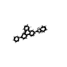 c1ccc(-c2ccc3c4ccc(-c5nc6ccccc6o5)cc4c4ccccc4c3c2)cc1